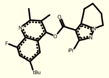 Cc1nc2c(F)cc(C(C)(C)C)cc2c(OC(=O)c2c(C(C)C)nn3c2CCCC3)c1C